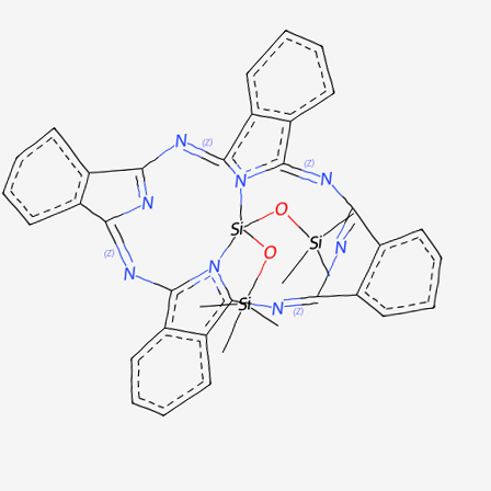 C[Si](C)(C)O[Si]1(O[Si](C)(C)C)n2c3c4ccccc4c2/N=C2N=C(/N=c4/c5ccccc5/c(n41)=N/C1=NC(=N\3)/c3ccccc31)c1ccccc1\2